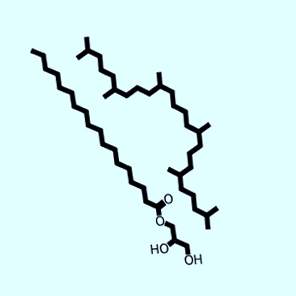 CC(C)CCCC(C)CCCC(C)CCCCC(C)CCCC(C)CCCC(C)C.CCCCCCCCCCCCCCCCCC(=O)OCC(O)CO